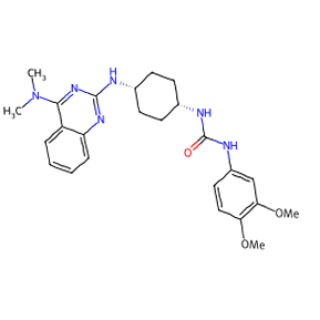 COc1ccc(NC(=O)N[C@H]2CC[C@@H](Nc3nc(N(C)C)c4ccccc4n3)CC2)cc1OC